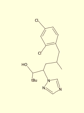 CC(Cc1ccc(Cl)cc1Cl)CC(C(O)C(C)(C)C)n1cncn1